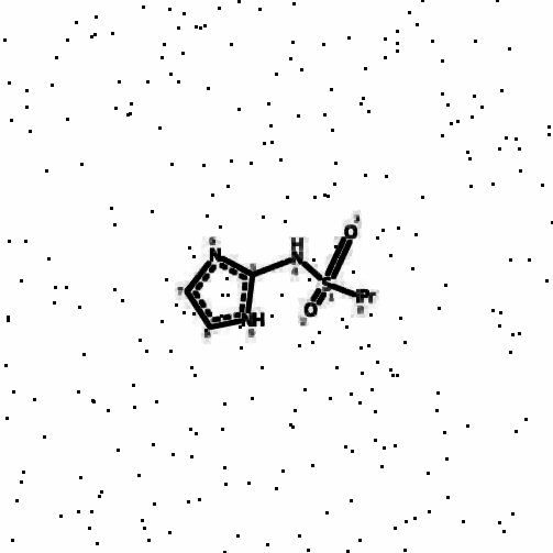 CC(C)S(=O)(=O)Nc1ncc[nH]1